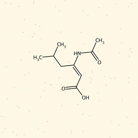 CC(=O)NC(=CC(=O)O)CC(C)C